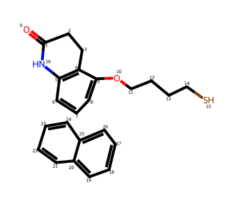 O=C1CCc2c(cccc2OCCCCS)N1.c1ccc2ccccc2c1